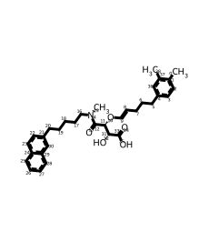 Cc1ccc(CCCC=CO[C@@H](C(=O)N(C)CCCCCc2ccc3ccccc3c2)[C@@H](O)C(=O)O)cc1C